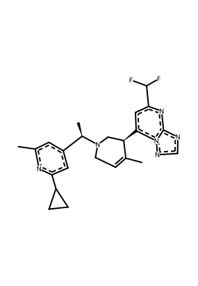 CC1=CCN([C@H](C)c2cc(C)nc(C3CC3)c2)C[C@H]1c1cc(C(F)F)nc2ncnn12